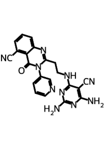 N#Cc1c(N)nc(N)nc1NCCc1nc2cccc(C#N)c2c(=O)n1-c1cccnc1